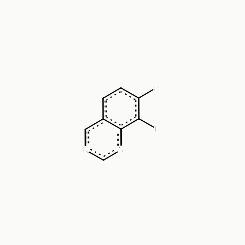 Fc1c(Br)ccc2cncnc12